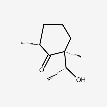 C[C@@H]1CCC[C@@](C)([C@@H](C)O)C1=O